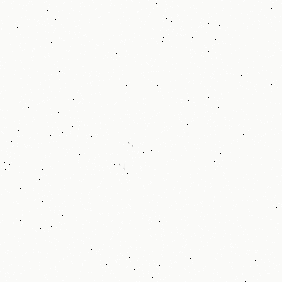 Cc1cc(Br)n(C2CCCCO2)n1